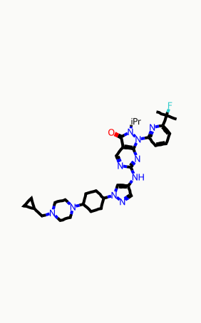 CC(C)n1c(=O)c2cnc(Nc3cnn(C4CCC(N5CCN(CC6CC6)CC5)CC4)c3)nc2n1-c1cccc(C(C)(C)F)n1